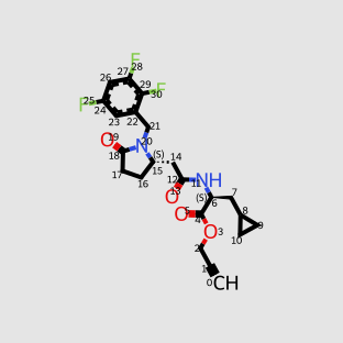 C#CCOC(=O)[C@H](CC1CC1)NC(=O)C[C@@H]1CCC(=O)N1Cc1cc(F)cc(F)c1F